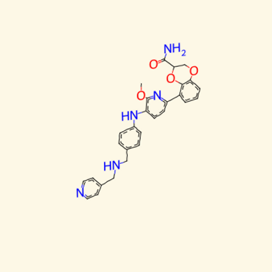 COc1nc(-c2cccc3c2OC(C(N)=O)CO3)ccc1Nc1ccc(CNCc2ccncc2)cc1